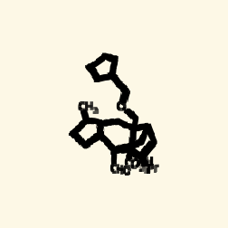 CC(C)C1=CC2CC3(C=O)C4CCC(C)C4CC2(COCC2CCCC2)C13C(=O)O